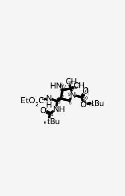 CCOC(=O)N/C(NC(=O)C(C)(C)C)=C1/CN(C(=O)OC(C)(C)C)C(C)(C)C1=N